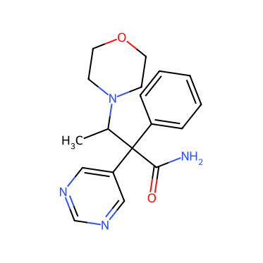 CC(N1CCOCC1)C(C(N)=O)(c1ccccc1)c1cncnc1